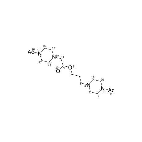 CC(=O)N1CCN(CCCOC([O])CN2CCN(C(C)=O)CC2)CC1